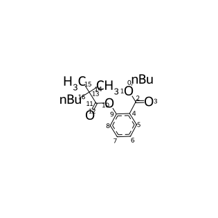 CCCCOC(=O)c1ccccc1OC(=O)C(C)(C)CCCC